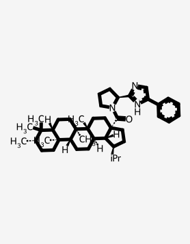 CC(C)[C@@H]1CC[C@]2(C(=O)N3CCC[C@H]3c3ncc(-c4ccccc4)[nH]3)CC[C@]3(C)[C@H](CC[C@@H]4[C@@]5(C)CC[C@H](C)C(C)(C)[C@@H]5CC[C@]43C)[C@@H]12